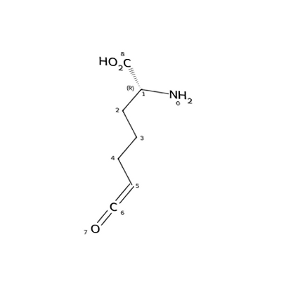 N[C@H](CCCC=C=O)C(=O)O